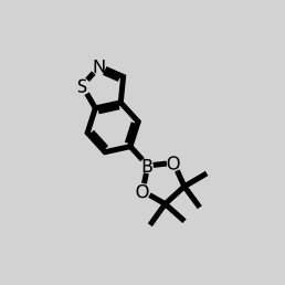 CC1(C)OB(c2ccc3sncc3c2)OC1(C)C